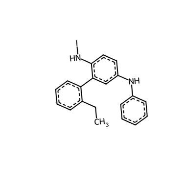 CCc1ccccc1-c1cc(Nc2ccccc2)ccc1NI